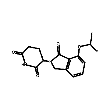 O=C1CCC(N2Cc3cccc(OC(F)F)c3C2=O)C(=O)N1